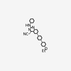 CCOc1ccc(-c2ccc(-c3ccc4nc(Nc5ccccc5)nc(CC#N)c4c3)cc2)cc1